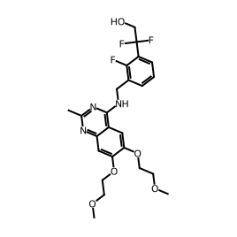 COCCOc1cc2nc(C)nc(NCc3cccc(C(F)(F)CO)c3F)c2cc1OCCOC